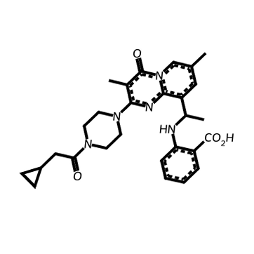 Cc1cc(C(C)Nc2ccccc2C(=O)O)c2nc(N3CCN(C(=O)CC4CC4)CC3)c(C)c(=O)n2c1